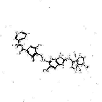 CS(=O)(=NC(=O)c1cc(F)c(COc2nc3[nH]c(O[C@@H]4CO[C@H]5[C@@H]4OC[C@H]5O)nc3cc2Cl)c(F)c1)c1cccnc1